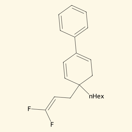 CCCCCCC1(CC=C(F)F)C=CC(c2ccccc2)=CC1